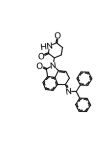 O=C1CCC(N2C(=O)c3cccc4c3C2=CCC4=NC(c2ccccc2)c2ccccc2)C(=O)N1